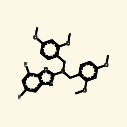 COc1ccc(CN(Cc2ccc(OC)cc2OC)c2nc3cc(F)cc(F)c3o2)c(OC)c1